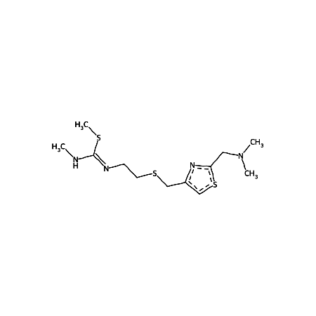 CN/C(=N/CCSCc1csc(CN(C)C)n1)SC